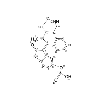 CN(/C(=C1\C(=O)Nc2ccc(OC(=O)O)cc21)c1ccccc1)C1CCNCC1